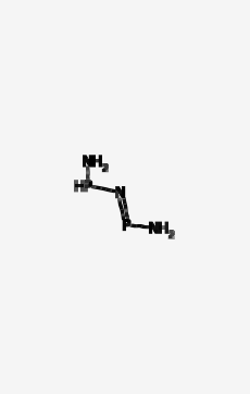 NP=NPN